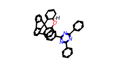 C1=CC[C@H]2Oc3ccccc3C3(C2=C1)c1ccccc1-c1cccc(-c2ccc(-c4nc(-c5ccccc5)nc(-c5ccccc5)n4)cc2)c13